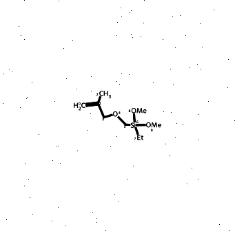 C=C(C)COC[Si](CC)(OC)OC